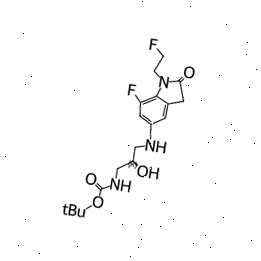 CC(C)(C)OC(=O)NC[C@H](O)CNc1cc(F)c2c(c1)CC(=O)N2CCF